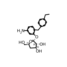 CCc1ccc(Cc2ccc(N)cc2O[C@H]2O[C@H](CO)C[C@H](O)[C@H]2O)cc1